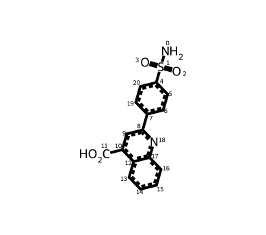 NS(=O)(=O)c1ccc(-c2cc(C(=O)O)c3ccccc3n2)cc1